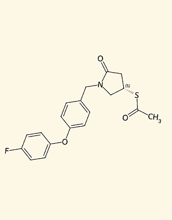 CC(=O)S[C@H]1CC(=O)N(Cc2ccc(Oc3ccc(F)cc3)cc2)C1